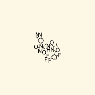 CC(C)C(NC(=O)c1cc(C(F)(F)F)ccc1F)C(=O)N1CCC2(CC1)C(=O)N(C)C(=O)N2c1ccc2nn(C)cc2c1